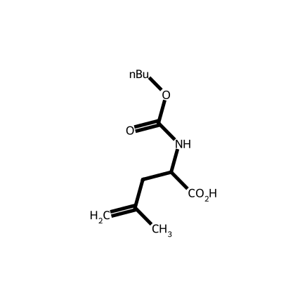 C=C(C)CC(NC(=O)OCCCC)C(=O)O